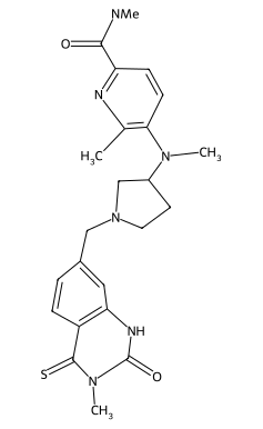 CNC(=O)c1ccc(N(C)C2CCN(Cc3ccc4c(=S)n(C)c(=O)[nH]c4c3)C2)c(C)n1